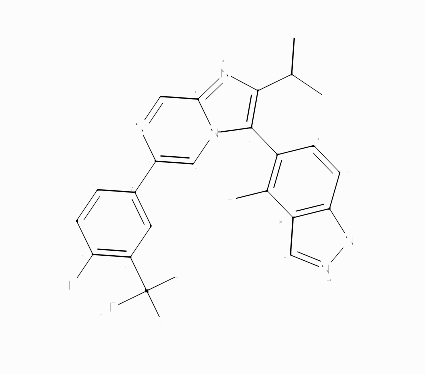 CC(C)c1nc2cnc(-c3ccc(F)c(C(F)(F)F)c3)cn2c1-c1ccc2[nH]ncc2c1F